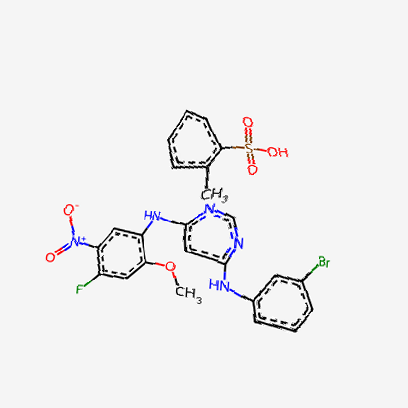 COc1cc(F)c([N+](=O)[O-])cc1Nc1cc(Nc2cccc(Br)c2)ncn1.Cc1ccccc1S(=O)(=O)O